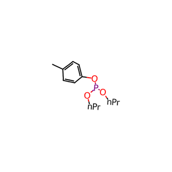 CCCOP(OCCC)Oc1ccc(C)cc1